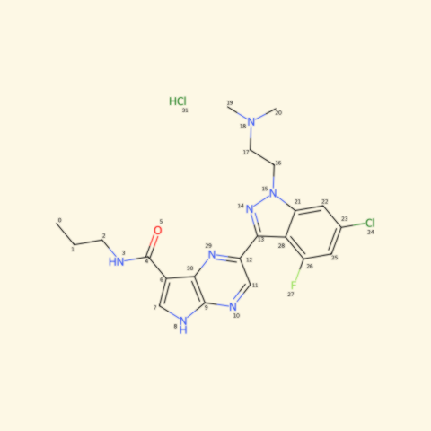 CCCNC(=O)c1c[nH]c2ncc(-c3nn(CCN(C)C)c4cc(Cl)cc(F)c34)nc12.Cl